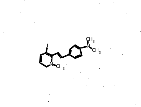 CN1CC=CC(I)=C1C=Cc1ccc(N(C)C)cc1